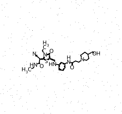 CCNC(=O)C(C#N)=c1sc(=CNc2cccc(NC(=O)CCN3CCC(CO)CC3)c2)c(=O)n1CC